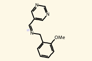 COc1ccccc1C/N=C\c1cncnc1